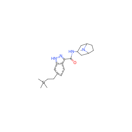 CN1C2CCC1CC(NC(=O)c1n[nH]c3cc(CC[Si](C)(C)C)ccc13)C2